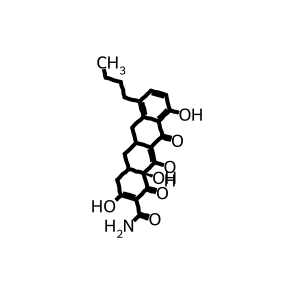 CCCCc1ccc(O)c2c1CC1CC3CC(O)=C(C(N)=O)C(=O)[C@@]3(O)C(O)=C1C2=O